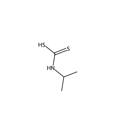 CC(C)NC(=S)S